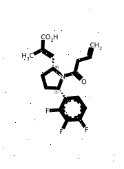 C=CCC(=O)N1[C@@H](C=C(C)C(=O)O)CC[C@H]1c1ccc(F)c(F)c1F